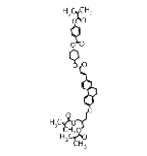 C=C(C)C(=O)OCC(CCOc1ccc2c(c1)CCc1cc(/C=C/C(=O)OC3CCC(OC(=O)c4ccc(OC(=O)C(=C)C)cc4)CC3)ccc1-2)COC(=O)C(=C)C